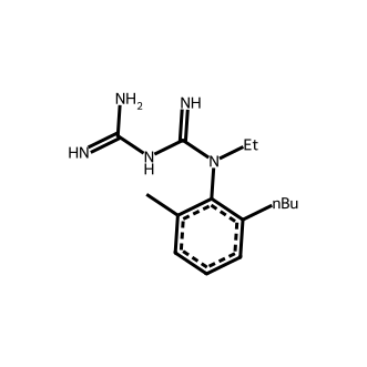 CCCCc1cccc(C)c1N(CC)C(=N)NC(=N)N